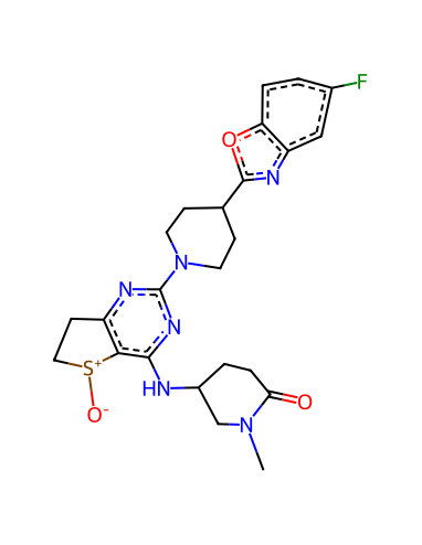 CN1CC(Nc2nc(N3CCC(c4nc5cc(F)ccc5o4)CC3)nc3c2[S+]([O-])CC3)CCC1=O